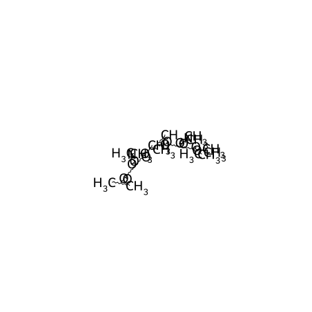 CCCCCC(CCCCC)CCOC(=O)CCCCCCCCC(CCCCCCC(=O)OCCCCC(C)CC(C)CCCC(CCCCC)CCOC(=O)CCCCCCCC(CCCCCCCC(=O)OCC(CCC(C)C)C(C)C)C(=O)OCCCN(C)C)C(=O)OCCCN(C)C